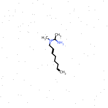 C=CCCCC=CCN(C)C(C)N